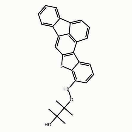 CC(C)(O)C(C)(C)OBc1cccc2c1sc1cc3c4c(cccc4c12)-c1ccccc1-3